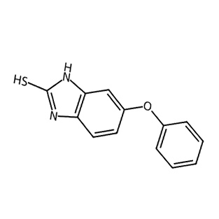 Sc1nc2ccc(Oc3ccccc3)cc2[nH]1